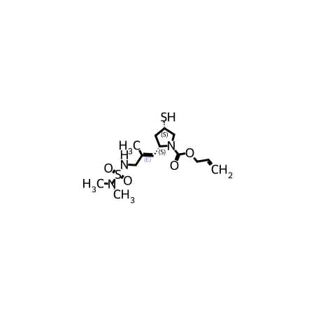 C=CCOC(=O)N1C[C@@H](S)C[C@H]1/C=C(\C)CNS(=O)(=O)N(C)C